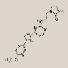 COc1ccc(-c2ccc(-c3ccnc(NCCN4CCNC4=O)n3)s2)cn1